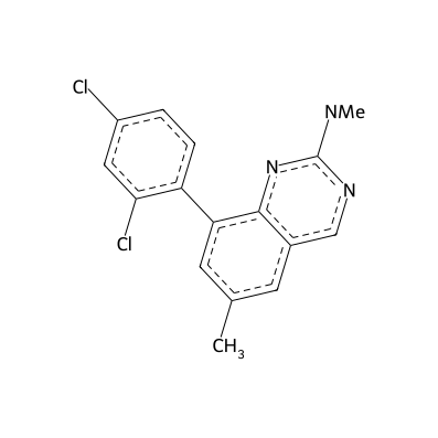 CNc1ncc2cc(C)cc(-c3ccc(Cl)cc3Cl)c2n1